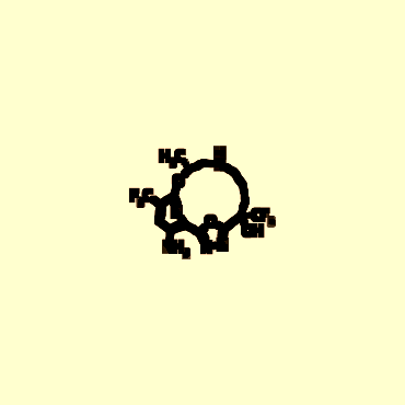 C[C@@H]1CNCCC[C@](O)(C(F)(F)F)c2nnc(o2)-c2nc(c(C(F)(F)F)cc2N)O1